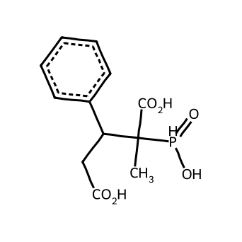 CC(C(=O)O)(C(CC(=O)O)c1ccccc1)[PH](=O)O